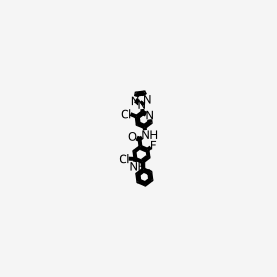 NC1(Cl)CC(C(=O)Nc2cnc(-n3nccn3)c(Cl)c2)=C(F)C=C1c1ccccc1